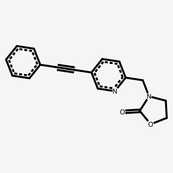 O=C1OCCN1Cc1ccc(C#Cc2ccccc2)cn1